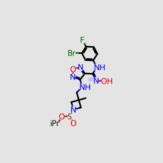 CC(C)OS(=O)N1CC(C)(CNc2nonc2/C(=N/O)Nc2ccc(F)c(Br)c2)C1